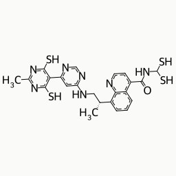 Cc1nc(S)c(-c2cc(NC[C@@H](C)c3cccc4c(C(=O)NC(S)S)ccnc34)ncn2)c(S)n1